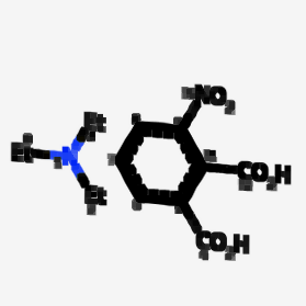 CCN(CC)CC.O=C(O)c1cccc([N+](=O)[O-])c1C(=O)O